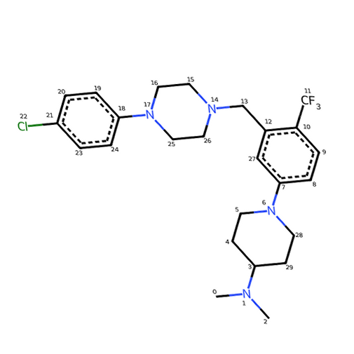 CN(C)C1CCN(c2ccc(C(F)(F)F)c(CN3CCN(c4ccc(Cl)cc4)CC3)c2)CC1